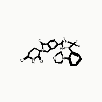 O=C1CCC(N2Cc3cc(C(=O)N[C@H](c4ccccc4N4CCOCC4)C(F)(F)F)ccc3C2=O)C(=O)N1